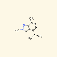 Cc1ccc(C(C)C)c2cn(C)nc12